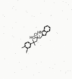 Cc1ccc(C(C)(C)CC(O)(Cc2cc3ccccc3[nH]2)C(F)(F)F)cc1F